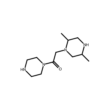 CC1CN(CC(=O)N2CCNCC2)C(C)CN1